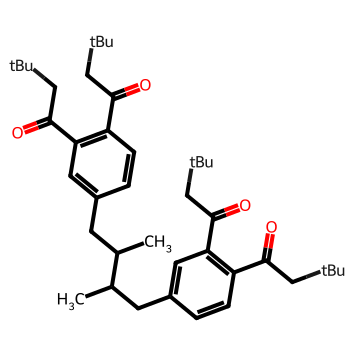 CC(Cc1ccc(C(=O)CC(C)(C)C)c(C(=O)CC(C)(C)C)c1)C(C)Cc1ccc(C(=O)CC(C)(C)C)c(C(=O)CC(C)(C)C)c1